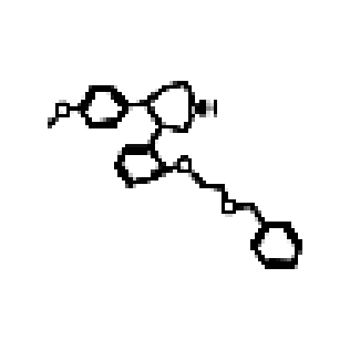 COc1ccc(C2CCNCC2c2ccccc2OCCOCc2ccccc2)cc1